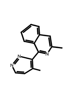 Cc1cc2ccccc2c(-c2nnccc2C)n1